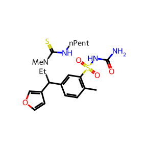 CCC(c1ccoc1)c1ccc(C)c(S(=O)(=O)NC(N)=O)c1.CCCCCNC(=S)NC